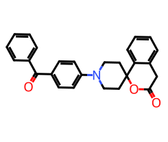 O=C1Cc2ccccc2C2(CCN(c3ccc(C(=O)c4ccccc4)cc3)CC2)O1